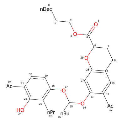 CCCCCCCCCCCCOC(=O)C1CCc2cc(C(C)=O)c(OC(CCCC)Oc3ccc(C(C)=O)c(O)c3CCC)cc2O1